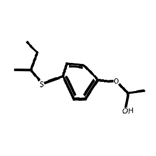 CCC(C)Sc1ccc(OC(C)O)cc1